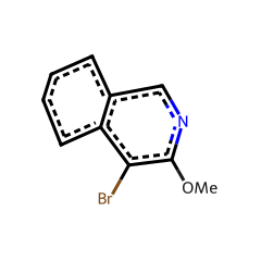 COc1ncc2ccccc2c1Br